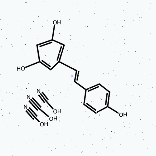 N#CO.N#CO.N#CO.Oc1ccc(/C=C/c2cc(O)cc(O)c2)cc1